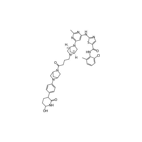 Cc1nc(Nc2ncc(C(=O)Nc3c(C)cccc3Cl)s2)cc(N2C[C@@H]3C[C@H]2CN3CCCC(=O)N2CC3CC2CN3c2ccc(C3CCC(O)NC3=O)cc2)n1